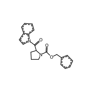 O=C(OCc1ccccc1)N1CCCC1C(=O)n1ccc2ccccc21